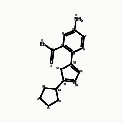 CCC(=O)c1cc(N)ccc1-c1cnc(C2CCCC2)s1